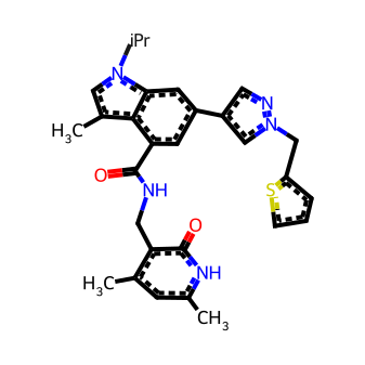 Cc1cc(C)c(CNC(=O)c2cc(-c3cnn(Cc4cccs4)c3)cc3c2c(C)cn3C(C)C)c(=O)[nH]1